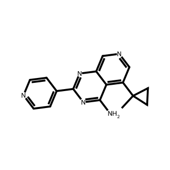 CC1(c2cncc3nc(-c4ccncc4)nc(N)c23)CC1